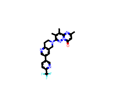 Cc1cc(=O)n2nc(N3CCc4ncc(-c5ccc(C(F)(F)F)nc5)cc4C3)c(C)c(C)c2n1